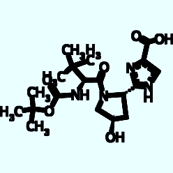 CC(C)(C)OC(=O)N[C@H](C(=O)N1C[C@H](O)C[C@H]1c1nc(C(=O)O)c[nH]1)C(C)(C)C